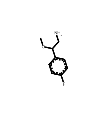 COC(CN)c1ccc(F)cc1